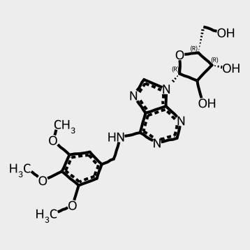 COc1cc(CNc2ncnc3c2ncn3[C@@H]2O[C@H](CO)[C@H](O)C2O)cc(OC)c1OC